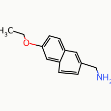 CCOc1ccc2cc(CN)ccc2c1